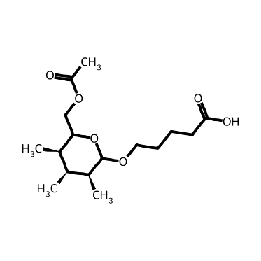 CC(=O)OCC1OC(OCCCCC(=O)O)[C@@H](C)[C@@H](C)[C@H]1C